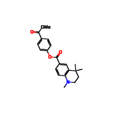 COC(=O)c1ccc(OC(=O)c2ccc3c(c2)C(C)(C)CCN3C)cc1